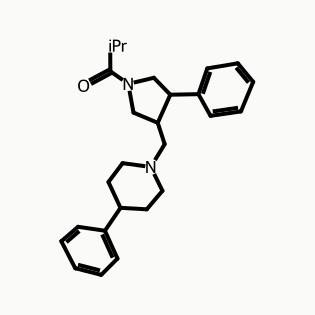 CC(C)C(=O)N1CC(CN2CCC(c3ccccc3)CC2)C(c2ccccc2)C1